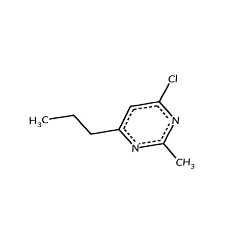 CCCc1cc(Cl)nc(C)n1